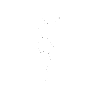 CC(C)OC(=O)Nc1ccc(CCC[O])cc1